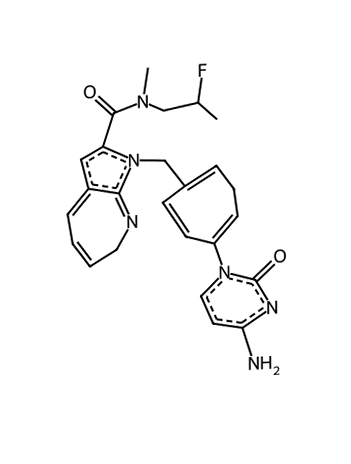 CC(F)CN(C)C(=O)c1cc2c(n1CC1=CCC=C(n3ccc(N)nc3=O)C=C1)=NCC=CC=2